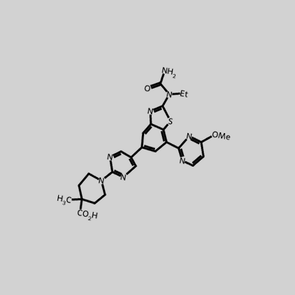 CCN(C(N)=O)c1nc2cc(-c3cnc(N4CCC(C)(C(=O)O)CC4)nc3)cc(-c3nccc(OC)n3)c2s1